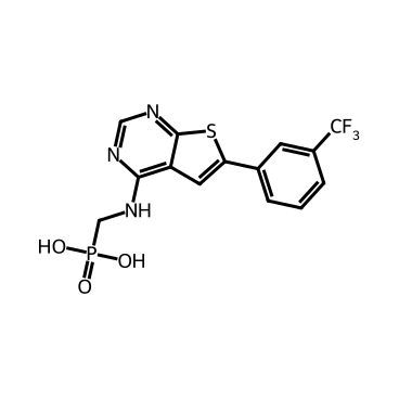 O=P(O)(O)CNc1ncnc2sc(-c3cccc(C(F)(F)F)c3)cc12